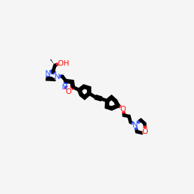 C[C@H](O)c1nccn1Cc1cc(-c2ccc(C#Cc3ccc(OCCCN4CCOCC4)cc3)cc2)on1